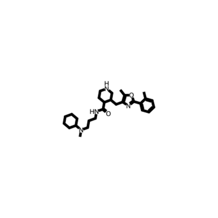 Cc1ccccc1-c1nc(CC2CNCCC2C(=O)NCCCN(C)C2CCCCC2)c(C)o1